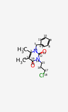 Cc1c(C)n(Cc2ccccc2)c(=O)n(CCCCl)c1=O